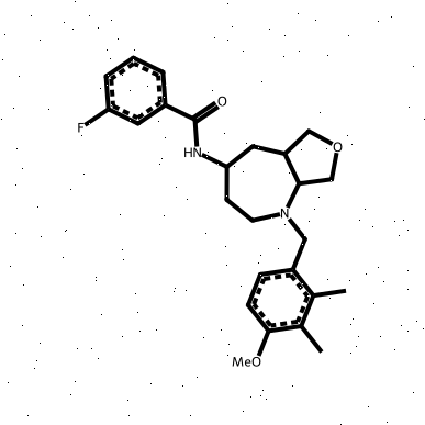 COc1ccc(CN2CCC(NC(=O)c3cccc(F)c3)CC3COCC32)c(C)c1C